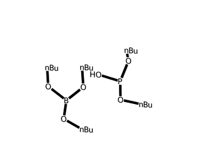 CCCCOB(OCCCC)OCCCC.CCCCOP(O)OCCCC